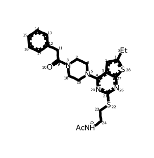 CCc1cc2c(N3CCN(C(=O)Cc4ccccc4)CC3)nc(SCCNC(C)=O)nc2s1